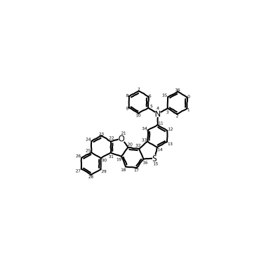 c1ccc(N(c2ccccc2)c2ccc3sc4ccc5c(oc6ccc7ccccc7c65)c4c3c2)cc1